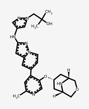 Cc1cc(-c2ccn3nc(Nc4cnn(CC(C)(C)O)c4)cc3c2)c(O[C@H]2C[C@H]3COC[C@@H](C2)N3)cn1